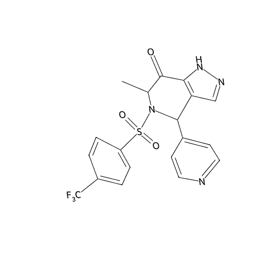 CC1C(=O)c2[nH]ncc2C(c2ccncc2)N1S(=O)(=O)c1ccc(C(F)(F)F)cc1